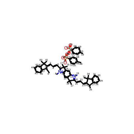 CC1C(=CC=CC2=[N+](C)c3cc4c(cc3C2(C)C)[N+](C)=C(C=CC=C2C(C)c3ccccc3C2(C)C)C4(C)C)C(C)(C)c2ccccc21.Cc1ccc(S(=O)(=O)[O-])cc1.Cc1ccc(S(=O)(=O)[O-])cc1